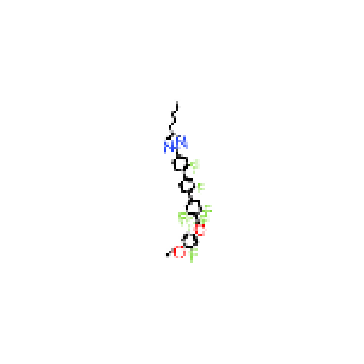 CCCCCc1cnc(-c2ccc(-c3ccc(-c4cc(F)c(C(F)(F)Oc5ccc(OCC)c(F)c5)c(F)c4)c(F)c3)c(F)c2)nc1